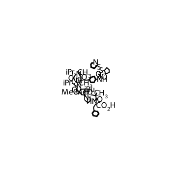 CCC(C)C(C(CC(=O)N1CCC[C@H]1C(OC)C(C)C(=O)NC(Cc1ccccc1)C(=O)O)OC)N(C)C(=O)C(NC(=O)C(C(C)C)N(C)C(=O)OCc1ccc(NC(=O)O[C@H]2CCC[C@@H]2SSc2ccccn2)cc1)C(C)C